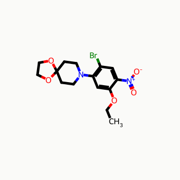 CCOc1cc(N2CCC3(CC2)OCCO3)c(Br)cc1[N+](=O)[O-]